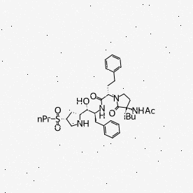 CCCS(=O)(=O)[C@H]1CN[C@@H]([C@H](O)[C@H](Cc2ccccc2)NC(=O)[C@H](CCc2ccccc2)N2CC[C@](NC(C)=O)([C@H](C)CC)C2=O)C1